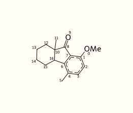 COc1ccc(C)c2c1C(=O)C1(C)CCCCC21